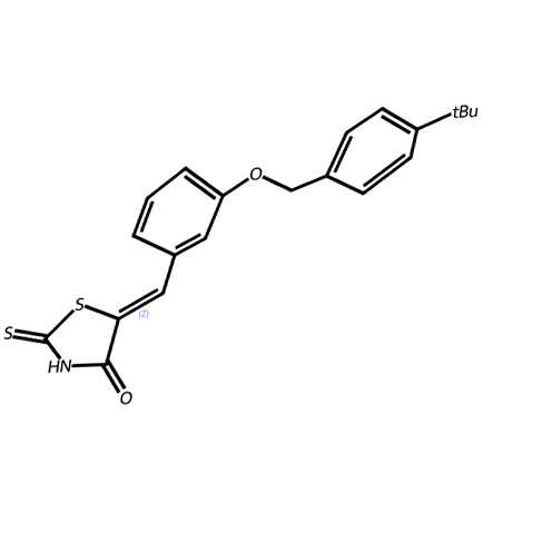 CC(C)(C)c1ccc(COc2cccc(/C=C3\SC(=S)NC3=O)c2)cc1